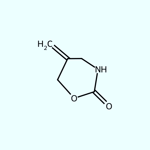 C=C1CNC(=O)OC1